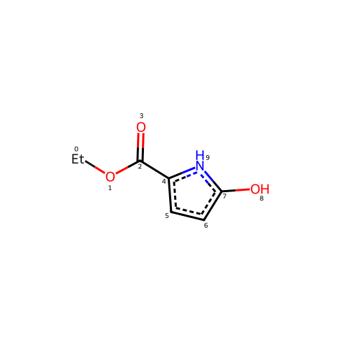 CCOC(=O)c1ccc(O)[nH]1